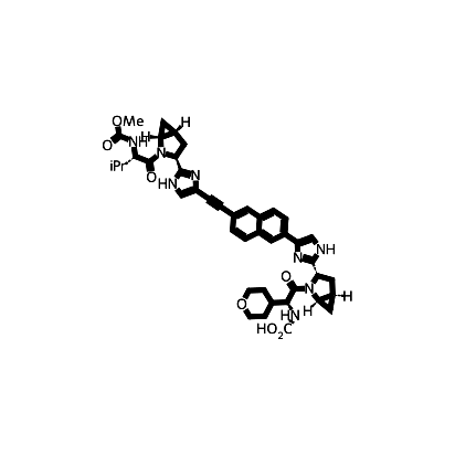 COC(=O)N[C@H](C(=O)N1[C@@H]2C[C@@H]2C[C@H]1c1nc(C#Cc2ccc3cc(-c4c[nH]c([C@@H]5C[C@H]6C[C@H]6N5C(=O)[C@@H](NC(=O)O)C5CCOCC5)n4)ccc3c2)c[nH]1)C(C)C